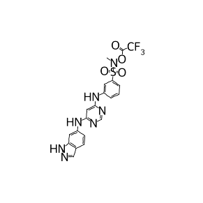 CN(OC(=O)C(F)(F)F)S(=O)(=O)c1cccc(Nc2cc(Nc3ccc4cn[nH]c4c3)ncn2)c1